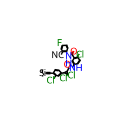 C[Si](C)(C)C#Cc1ccc(C2C(C(=O)Nc3ccc(Cl)c(C(=O)Nc4ccc(F)cc4C#N)c3)C2(Cl)Cl)cc1Cl